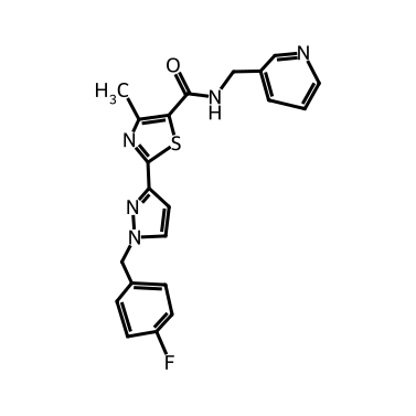 Cc1nc(-c2ccn(Cc3ccc(F)cc3)n2)sc1C(=O)NCc1cccnc1